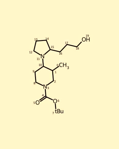 CC1CN(C(=O)OC(C)(C)C)CCC1N1CCCC1CCCO